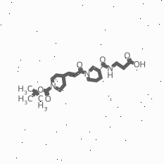 CC(C)(C)OC(=O)N1CCC(/C=C/C(=O)N2CCC[C@@H](C(=O)NCCC(=O)O)C2)CC1